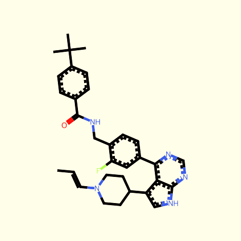 CC=CN1CCC(c2c[nH]c3ncnc(-c4ccc(CNC(=O)c5ccc(C(C)(C)C)cc5)c(F)c4)c23)CC1